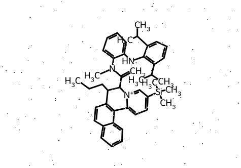 C=C(C1C(CCC)c2ccc3ccccc3c2-c2ccc([Si](C)(C)C)c[n+]21)N(C)c1ccccc1Nc1c(C(C)C)cccc1C(C)C